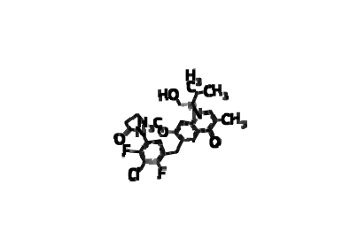 COc1cc2c(cc1Cc1cc(N3CCCC3=O)c(F)c(Cl)c1F)c(=O)c(C)cn2[C@H](CO)C(C)C